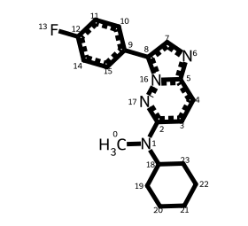 CN(c1ccc2ncc(-c3ccc(F)cc3)n2n1)C1CCCCC1